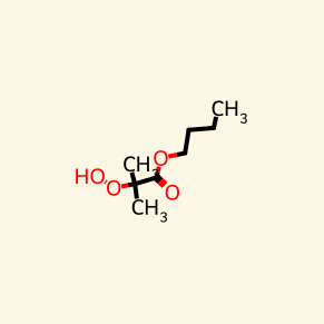 CCCCOC(=O)C(C)(C)OO